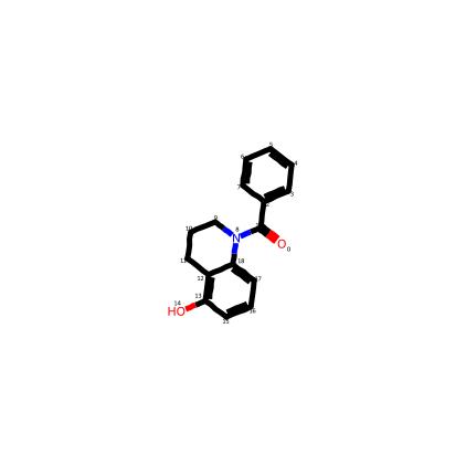 O=C(c1ccccc1)N1CCCc2c(O)cccc21